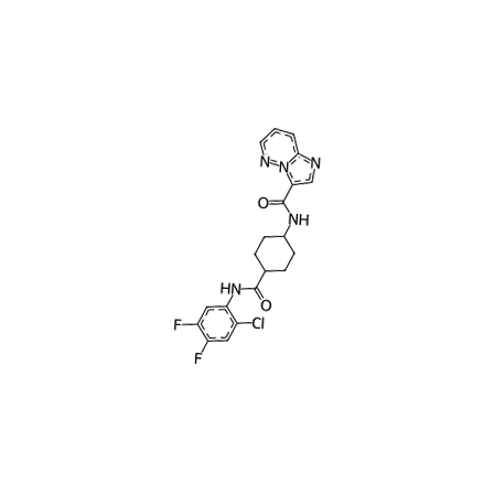 O=C(NC1CCC(C(=O)Nc2cc(F)c(F)cc2Cl)CC1)c1cnc2cccnn12